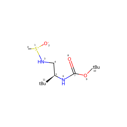 C[S+]([O-])NC[C@@H](NC(=O)OC(C)(C)C)C(C)(C)C